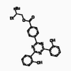 CCCCC(CC)COC(=O)c1ccc(-c2nc(-c3ccccc3O)nc(-c3ccccc3O)n2)cc1